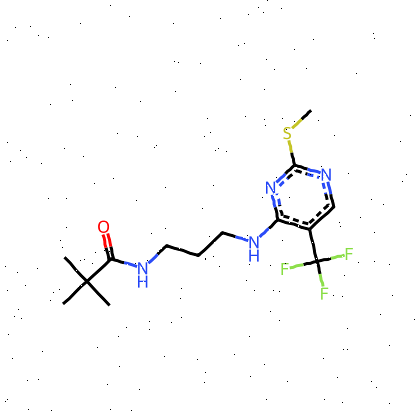 CSc1ncc(C(F)(F)F)c(NCCCNC(=O)C(C)(C)C)n1